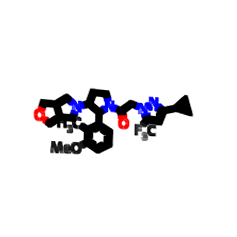 COc1cccc(C2C(N3CC4COCC4C3)CCN2C(=O)Cn2nc(C3CC3)cc2C(F)(F)F)c1C